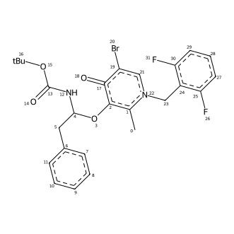 Cc1c(OC(Cc2ccccc2)NC(=O)OC(C)(C)C)c(=O)c(Br)cn1Cc1c(F)cccc1F